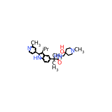 Cc1cc(-c2[nH]c3ccc(C(C)(C)C(=O)NCC4(O)CCN(C)CC4)cc3c2C(C)C)ccn1